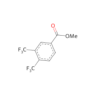 COC(=O)c1ccc(C(F)(F)F)c(C(F)(F)F)c1